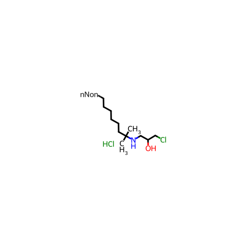 CCCCCCCCCCCCCCCC(C)(C)NCC(O)CCl.Cl